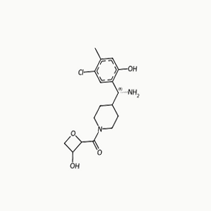 Cc1cc(O)c([C@H](N)C2CCN(C(=O)C3OCC3O)CC2)cc1Cl